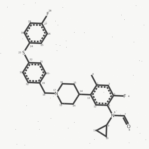 Cc1cc(F)c(N(C=O)C2CC2)cc1C1CCN(Cc2ccc(Sc3ccc(F)cc3)cc2)CC1